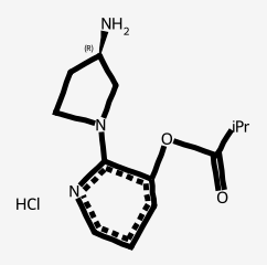 CC(C)C(=O)Oc1cccnc1N1CC[C@@H](N)C1.Cl